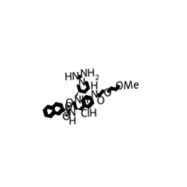 COCCOCC(=O)Nc1ccc(C[C@@H](NS(=O)(=O)c2ccc3ccccc3c2)C(=O)NC[C@H]2CCCN(C(=N)N)C2)cc1.Cl